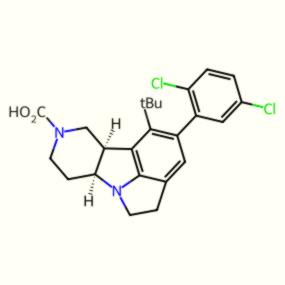 CC(C)(C)c1c(-c2cc(Cl)ccc2Cl)cc2c3c1[C@@H]1CN(C(=O)O)CC[C@@H]1N3CC2